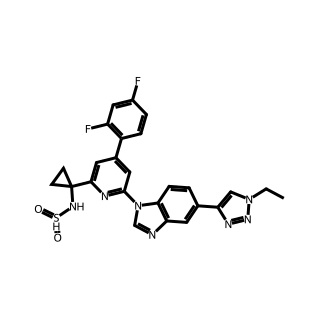 CCn1cc(-c2ccc3c(c2)ncn3-c2cc(-c3ccc(F)cc3F)cc(C3(N[SH](=O)=O)CC3)n2)nn1